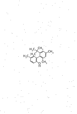 Cc1ccc(O)c(-c2c(C)cc(C)cc2C(C)(C)C)c1